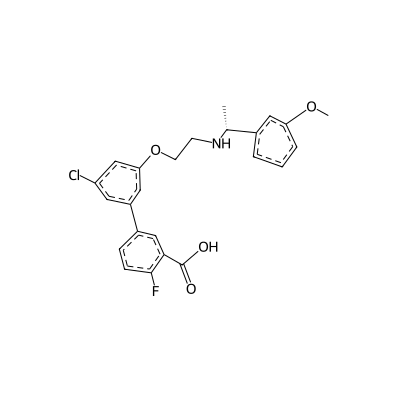 COc1cccc([C@@H](C)NCCOc2cc(Cl)cc(-c3ccc(F)c(C(=O)O)c3)c2)c1